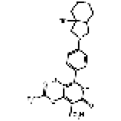 CCc1c(-c2ccc(N3CC4CCCCC4(C#N)C3)cc2)[nH]c(=O)c(C(=O)O)c1OC(=O)C(F)(F)F